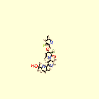 Cc1cnc(COc2cc(C)n(C3=CC(c4nc(C(C)(C)O)ccc4C)=NC[C@H]3C)c(=O)c2Cl)c(F)c1